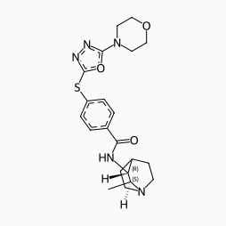 C[C@H]1[C@H](NC(=O)c2ccc(Sc3nnc(N4CCOCC4)o3)cc2)C2CCN1CC2